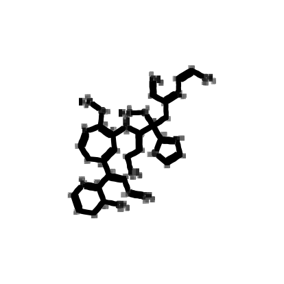 C=C/C(CC(OC)(C(=CCC)NC1=C(OC)N=CCC(/C(=C/N=C)C2=NC=CCC2C)=C1)c1ncco1)=N\C=C/C